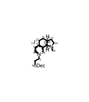 CCCCCCCCCCCC[n+]1ccc2c(c1)[C@@H]1[C@H](CC2)CCN1C.[I-]